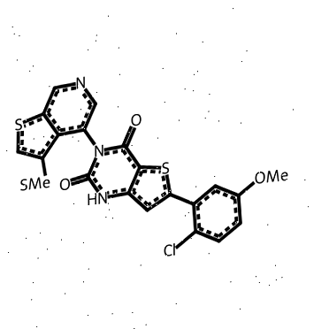 COc1ccc(Cl)c(-c2cc3[nH]c(=O)n(-c4cncc5scc(SC)c45)c(=O)c3s2)c1